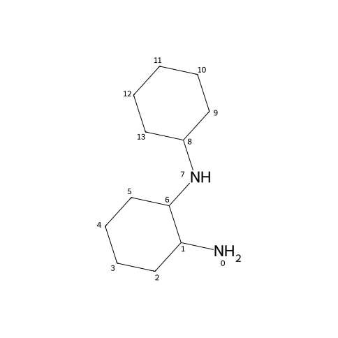 NC1CCCCC1NC1CCCCC1